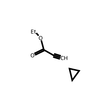 C#CC(=O)OCC.C1CC1